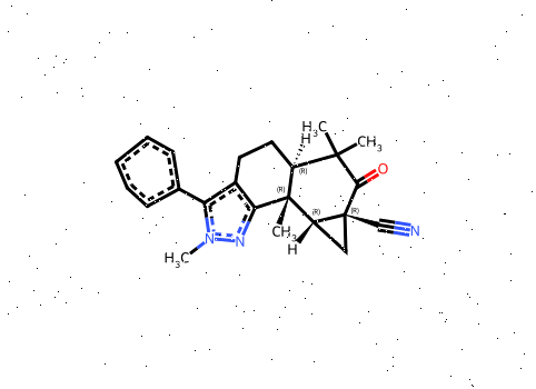 Cn1nc2c(c1-c1ccccc1)CC[C@H]1C(C)(C)C(=O)[C@]3(C#N)C[C@@H]3[C@]21C